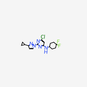 FC1(F)CCC(Nc2cc(Cl)nc(-n3ccc(C4CC4)n3)n2)CC1